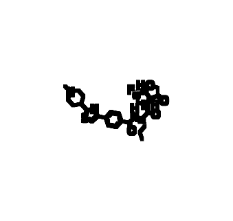 CCC[C@H](NC(=O)c1ccc(-c2csc(C3CCN(C)CC3)n2)cc1)C(=O)N1C[C@H](F)[C@H]2OCC(=O)[C@H]21